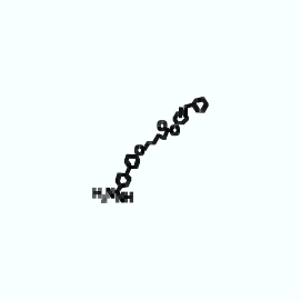 N=C(N)c1ccc(-c2ccc(OCCCCCC(=O)OC3CCN(Cc4ccccc4)CC3)cc2)cc1